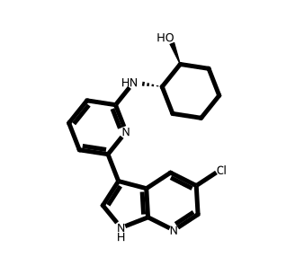 O[C@H]1CCCC[C@@H]1Nc1cccc(-c2c[nH]c3ncc(Cl)cc23)n1